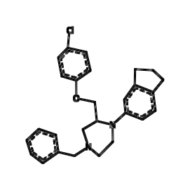 Clc1ccc(OCC2CN(Cc3ccccc3)CCN2c2ccc3c(c2)CCC3)cc1